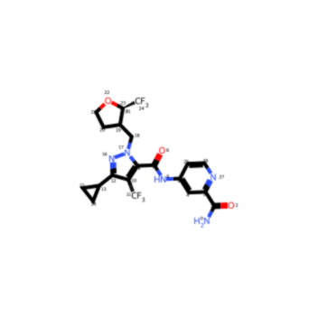 NC(=O)c1cc(NC(=O)c2c(C(F)(F)F)c(C3CC3)nn2CC2CCO[C@H]2C(F)(F)F)ccn1